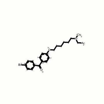 CC(=O)CN(C)CCCCCCOc1ccc(C(=O)c2ccc(Br)cc2)cc1